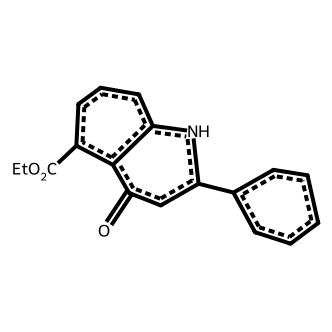 CCOC(=O)c1cccc2[nH]c(-c3ccccc3)cc(=O)c12